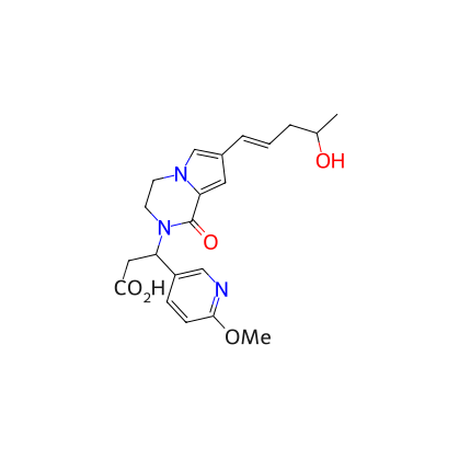 COc1ccc(C(CC(=O)O)N2CCn3cc(/C=C/CC(C)O)cc3C2=O)cn1